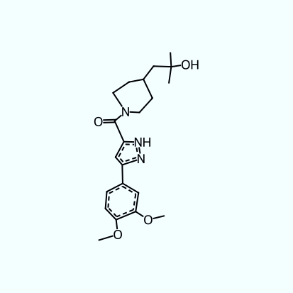 COc1ccc(-c2cc(C(=O)N3CCC(CC(C)(C)O)CC3)[nH]n2)cc1OC